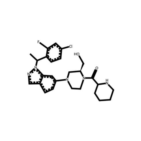 CC(c1ccc(Cl)cc1F)n1ncc2ccc(N3CCN(C(=O)C4CCCCN4)[C@H](CO)C3)cc21